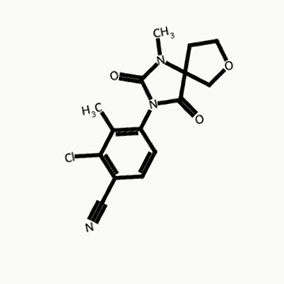 Cc1c(N2C(=O)N(C)C3(CCOC3)C2=O)ccc(C#N)c1Cl